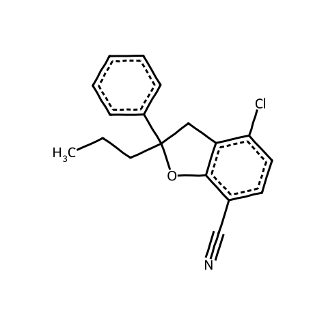 CCCC1(c2ccccc2)Cc2c(Cl)ccc(C#N)c2O1